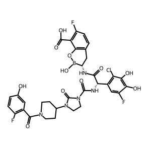 O=C(O)c1c(F)ccc2c1OB(O)[C@@H](NC(=O)[C@@H](NC(=O)N1CCN(C3CCN(C(=O)c4cc(O)ccc4F)CC3)C1=O)c1cc(F)c(O)c(O)c1Cl)C2